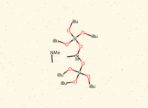 CCC(C)O[Si](OC(C)CC)(OC(C)CC)O[SiH](C)O[Si](OC(C)CC)(OC(C)CC)OC(C)CC.CNC